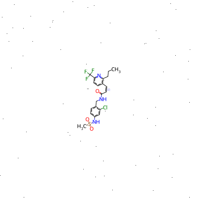 CCCc1nc(C(F)(F)F)ccc1/C=C\C(=O)NCc1ccc(NS(C)(=O)=O)cc1Cl